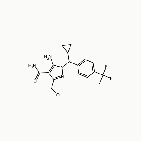 NC(=O)c1c(CO)nn(C(c2ccc(C(F)(F)F)cc2)C2CC2)c1N